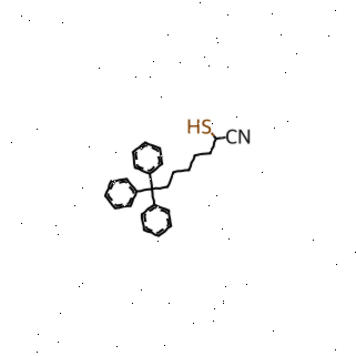 N#CC(S)CCCCCC(c1ccccc1)(c1ccccc1)c1ccccc1